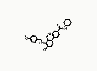 COc1ccc(CNc2c(Cl)cnc(-c3ccc(C(=O)NC4CCCCC4)cc3)c2C=N)cc1